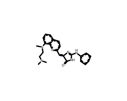 CN(C)CCN(C)c1cccc2ccc(/C=C3\N=C(Nc4ccccc4)NC3=O)nc12